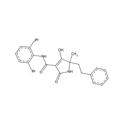 CC(C)c1cccc(C(C)C)c1NC(=O)C1=C(O)C(C)(CCc2ccccc2)NC1=O